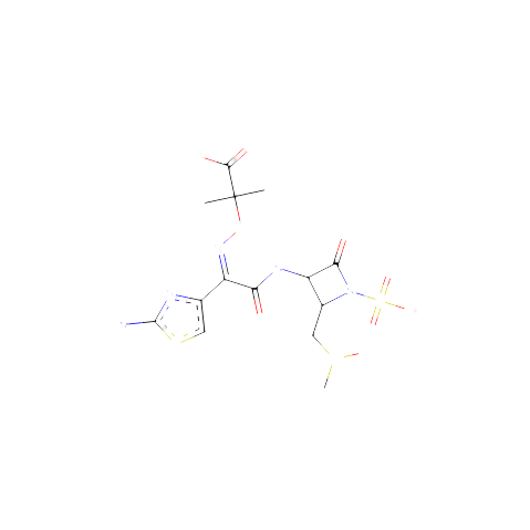 C[S+]([O-])CC1C(NC(=O)/C(=N\OC(C)(C)C(=O)O)c2csc(N)n2)C(=O)N1S(=O)(=O)O